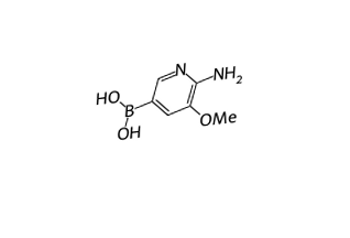 COc1cc(B(O)O)cnc1N